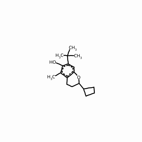 Cc1c(O)c(C(C)(C)C)cc2c1CCC(C1CCC1)O2